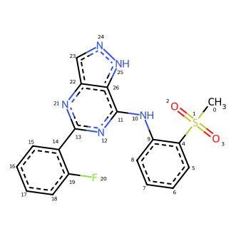 CS(=O)(=O)c1ccccc1Nc1nc(-c2ccccc2F)nc2cn[nH]c12